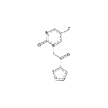 O=C(Cn1cc(F)cnc1=O)c1cccs1